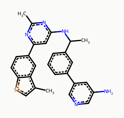 Cc1nc(NC(C)c2cccc(-c3cncc(N)c3)c2)cc(-c2ccc3scc(C)c3c2)n1